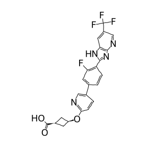 O=C(O)[C@H]1C[C@@H](Oc2ccc(-c3ccc(-c4nc5ncc(C(F)(F)F)cc5[nH]4)c(F)c3)cn2)C1